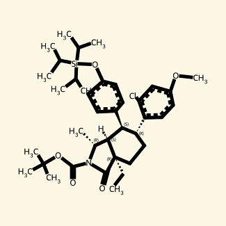 CC[C@@]12CC[C@@H](c3ccc(OC)cc3Cl)[C@H](c3ccc(O[Si](C(C)C)(C(C)C)C(C)C)cc3)[C@@H]1[C@@H](C)N(C(=O)OC(C)(C)C)C2=O